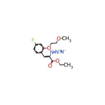 CCOC(=O)/C(=C/c1ccc(F)cc1OCCOC)N=[N+]=[N-]